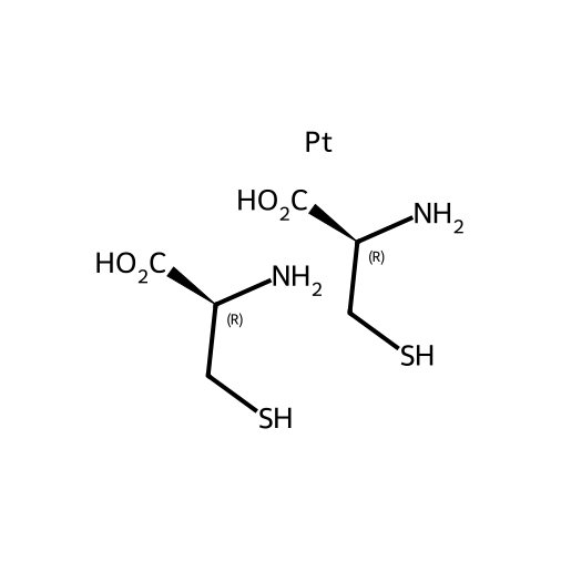 N[C@@H](CS)C(=O)O.N[C@@H](CS)C(=O)O.[Pt]